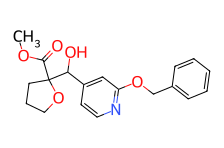 COC(=O)C1(C(O)c2ccnc(OCc3ccccc3)c2)CCCO1